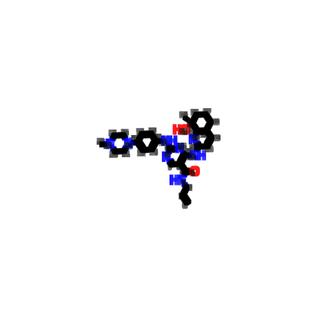 C=CCNC(=O)c1cnc(Nc2ccc(N3CCN(C)CC3)cc2)nc1Nc1ccc2c(n1)[C@](C)(O)CCC2